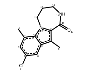 Cc1c2n(c3c(C)cc(Cl)cc13)CCCNC2=O